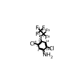 Nc1cc(Cl)c(SC(F)(F)C(F)(F)F)cc1Cl